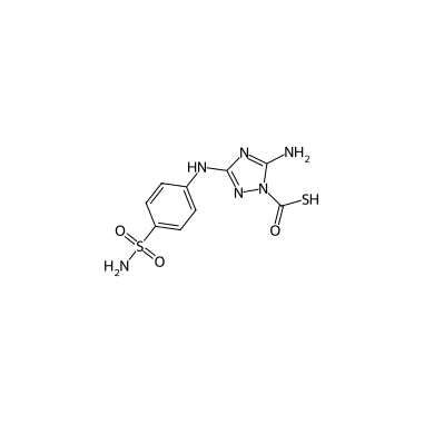 Nc1nc(Nc2ccc(S(N)(=O)=O)cc2)nn1C(=O)S